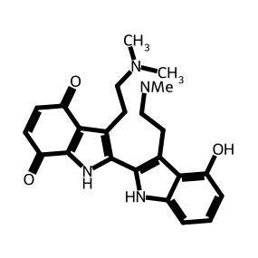 CNCCc1c(-c2[nH]c3c(c2CCN(C)C)C(=O)C=CC3=O)[nH]c2cccc(O)c12